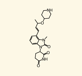 CC(/C=C/c1cccc2c1n(C)c(=O)n2C1CCC(=O)NC1=O)OC1CCNCC1